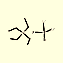 CC[N+](CC)(CC)CC.[Br][Ni]([Br])([Br])[Br]